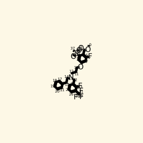 COC(=O)c1c(F)cc(OCCCN(CCc2ccccc2)Cc2cccc(C(F)(F)F)c2F)cc1S(C)(=O)=O